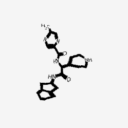 Cc1cnc(C(=O)NC(C(=O)NC2Cc3ccccc3C2)C2CCNCC2)cn1